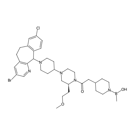 COCC[C@H]1CN(C2CCN(C3c4ccc(Cl)cc4CCc4cc(Br)cnc43)CC2)CCN1C(=O)CC1CCN(B(C)O)CC1